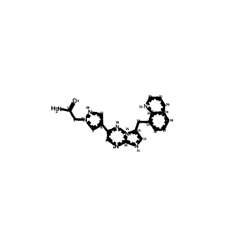 NC(=O)Cn1cc(-c2cnc3ncc(Cc4cccc5cccnc45)n3n2)cn1